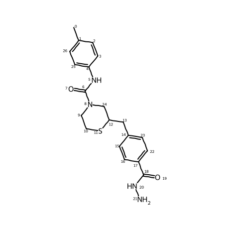 Cc1ccc(NC(=O)N2CCSC(Cc3ccc(C(=O)NN)cc3)C2)cc1